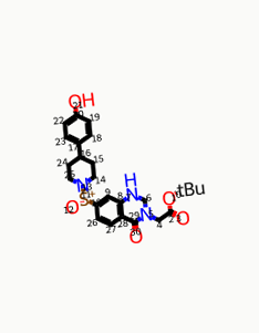 CC(C)(C)OC(=O)CN1CNc2cc([S+]([O-])N3CCC(c4ccc(O)cc4)CC3)ccc2C1=O